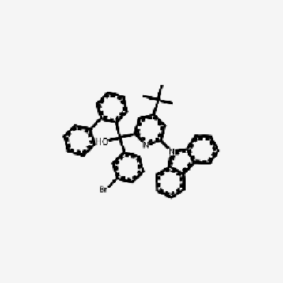 CC(C)(C)c1cc(-n2c3ccccc3c3ccccc32)nc(C(O)(c2cccc(Br)c2)c2ccccc2-c2ccccc2)c1